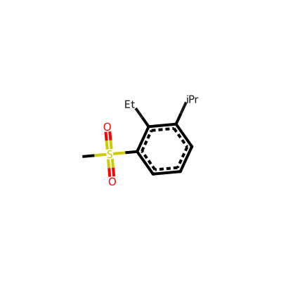 CCc1c(C(C)C)cccc1S(C)(=O)=O